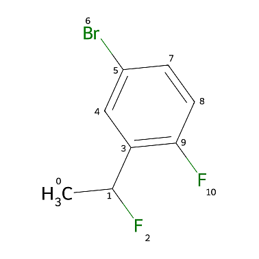 CC(F)c1cc(Br)ccc1F